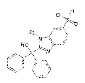 CCn1c(C(O)(c2ccccc2)c2ccccc2)nc2ccc(S(=O)(=O)Cl)cc21